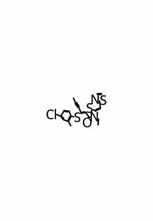 CC#C/C(Sc1ccc(Cl)cc1C)=c1\s/c(=C\c2nccs2)n(CC)c1=O